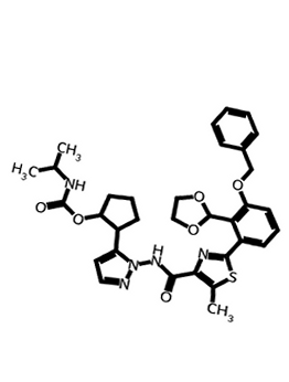 Cc1sc(-c2cccc(OCc3ccccc3)c2C2OCCO2)nc1C(=O)Nn1nccc1C1CCCC1OC(=O)NC(C)C